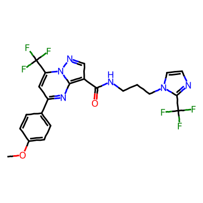 COc1ccc(-c2cc(C(F)(F)F)n3ncc(C(=O)NCCCn4ccnc4C(F)(F)F)c3n2)cc1